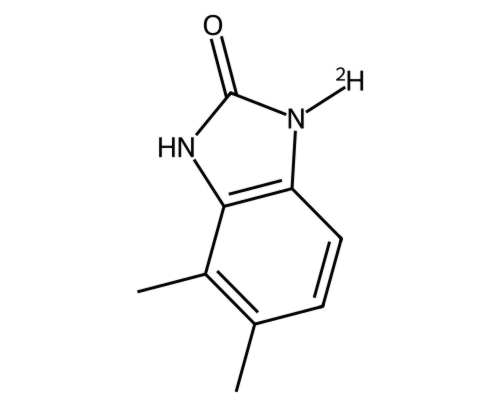 [2H]n1c(=O)[nH]c2c(C)c(C)ccc21